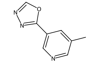 Cc1cncc(-c2nnco2)c1